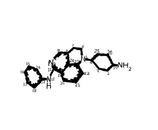 NC1CCC(N2CCc3cnc(Nc4ccccc4)c4cccc2c34)CC1